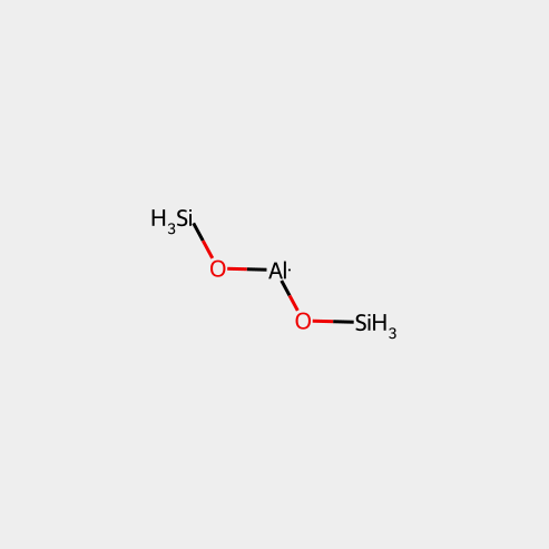 [SiH3][O][Al][O][SiH3]